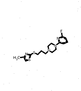 Cc1csc(SCCCN2CCN(c3cccc(F)n3)CC2)n1